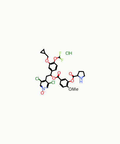 COc1ccc(C(=O)OC(Cc2c(Cl)c[n+]([O-])cc2Cl)c2ccc(OC(F)F)c(OCC3CC3)c2)cc1OC(=O)C1CCCN1.Cl